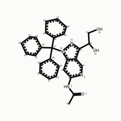 CC(=O)Nc1cc2c(cn1)c(C(O)CO)nn2C(c1ccccc1)(c1ccccc1)c1ccccc1